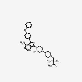 CC(C)(CN1CCC(N2CC[C@@H](n3nc(-c4ccc(Oc5ccccc5)cc4)c4c(N)ncnc43)[C@@H](F)C2)CC1)C(=O)O